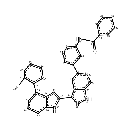 O=C(Nc1cncc(-c2cc3c(-c4cc5c(-c6ccccc6F)cccc5[nH]4)n[nH]c3cn2)c1)c1ccccc1